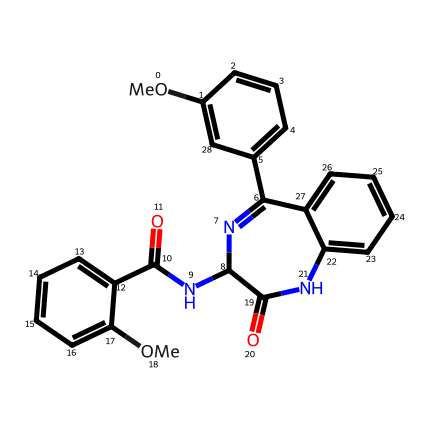 COc1cccc(C2=NC(NC(=O)c3ccccc3OC)C(=O)Nc3ccccc32)c1